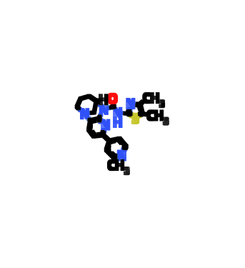 Cc1cc(-c2ccc3c(n2)N(C(=O)Nc2nc(C)c(C)s2)[C@H]2CCCN3C2)ccn1